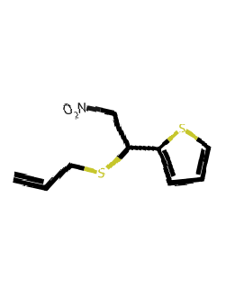 C=CCSC(C[N+](=O)[O-])c1cccs1